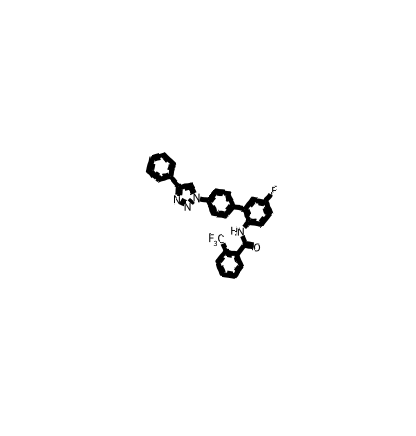 O=C(Nc1ccc(F)cc1-c1ccc(-n2cc(-c3ccccc3)nn2)cc1)c1ccccc1C(F)(F)F